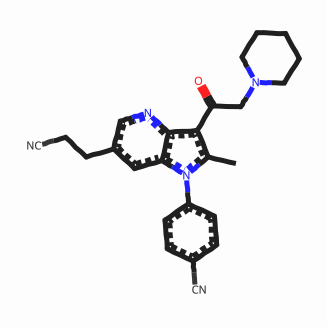 Cc1c(C(=O)CN2CCCCC2)c2ncc(CCC#N)cc2n1-c1ccc(C#N)cc1